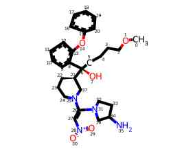 COCCCC[C@@](O)(c1ccccc1Oc1ccccc1)[C@@H]1CCCN(C(=C[N+](=O)[O-])N2CCC(N)C2)C1